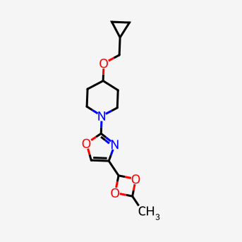 CC1OC(c2coc(N3CCC(OCC4CC4)CC3)n2)O1